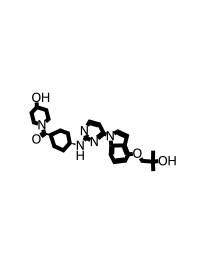 CC(C)(O)COc1cccc2c1ccn2-c1ccnc(N[C@H]2CC[C@H](C(=O)N3CCC(O)CC3)CC2)n1